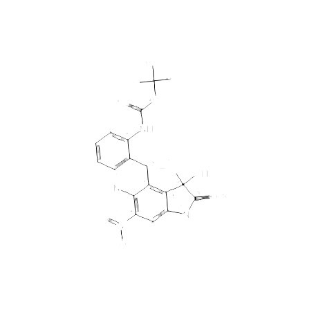 CC(C)(C)OC(=O)Nc1ccccc1Cc1c(N)c([N+](=O)[O-])cc2c1C(C)(C)C(=O)N2